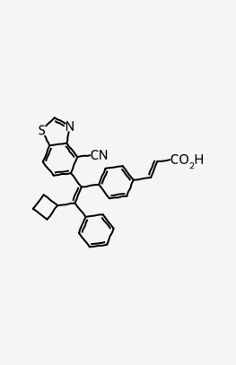 N#Cc1c(/C(=C(/c2ccccc2)C2CCC2)c2ccc(/C=C/C(=O)O)cc2)ccc2scnc12